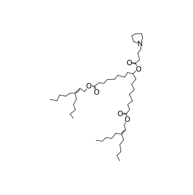 CCCCCC(=CCOC(=O)CCCCCCCC(CCCCCCCC(=O)OCC=C(CCCCC)CCCCC)OC(=O)CCCN1CCCCC1)CCCCC